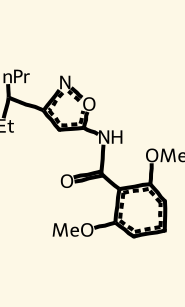 CCCC(CC)c1cc(NC(=O)c2c(OC)cccc2OC)on1